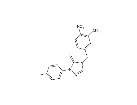 Cc1cc(Cn2cnn(-c3ccc(F)cc3)c2=O)ccc1[N+](=O)[O-]